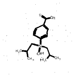 CC(C)C[Si](O)(CC(C)C)c1ccc(C(=O)O)cc1